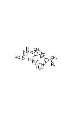 CCCN(C)Cc1cc(-c2nc(-c3cc(C)c(OCC(O)CNC(=O)CO)c(CC)c3)no2)cc(C(C)C)c1